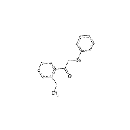 CCc1ccccc1C(=O)C[Se]c1ccccc1